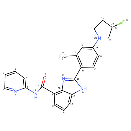 O=C(Nc1ccccn1)c1cccc2[nH]c(-c3ccc(N4CC[C@@H](F)C4)cc3C(F)(F)F)nc12